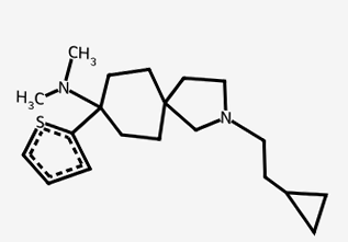 CN(C)C1(c2cccs2)CCC2(CCN(CCC3CC3)C2)CC1